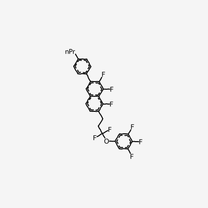 CCCc1ccc(-c2cc3ccc(CCC(F)(F)Oc4cc(F)c(F)c(F)c4)c(F)c3c(F)c2F)cc1